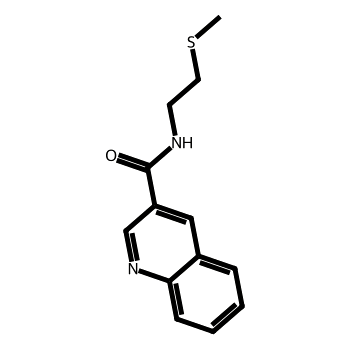 CSCCNC(=O)c1cnc2ccccc2c1